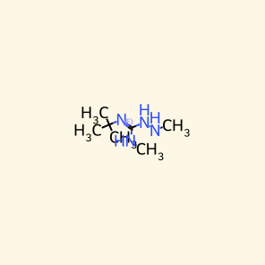 CNN/C(=N/C(C)(C)C)NC